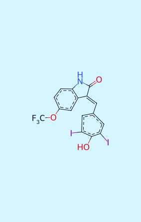 O=C1Nc2ccc(OC(F)(F)F)cc2C1=Cc1cc(I)c(O)c(I)c1